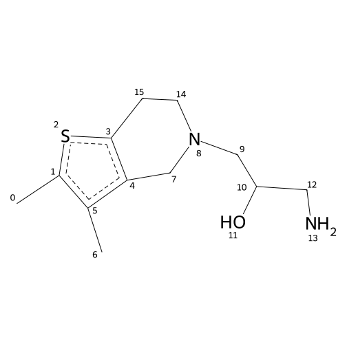 Cc1sc2c(c1C)CN(CC(O)CN)CC2